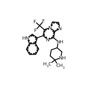 CC1(C)CCC(Nc2nc(-c3c[nH]c4ccccc34)c(C(F)(F)F)n3ccnc23)CN1